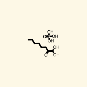 CCCCCCC(=O)C(O)O.O=P(O)(O)O